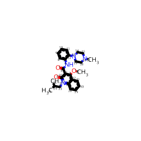 COc1c(C(=O)Nc2ccccc2N2CCN(C)CC2)c(=O)n(CC(C)C)c2ccccc12